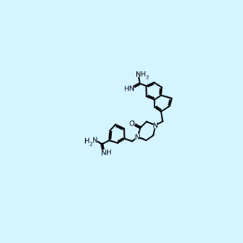 N=C(N)c1cccc(CN2CCN(Cc3ccc4ccc(C(=N)N)cc4c3)CC2=O)c1